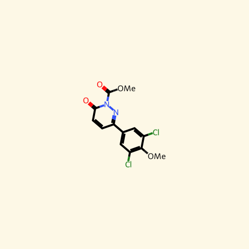 COC(=O)n1nc(-c2cc(Cl)c(OC)c(Cl)c2)ccc1=O